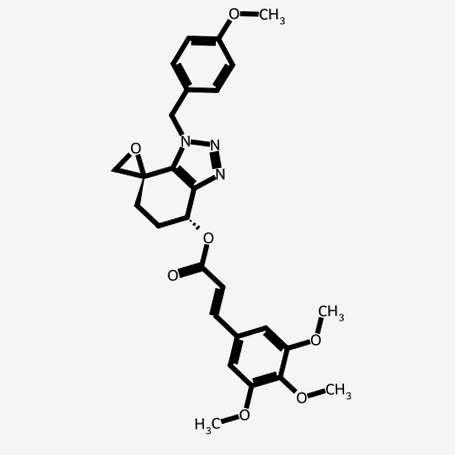 COc1ccc(Cn2nnc3c2[C@]2(CC[C@H]3OC(=O)/C=C/c3cc(OC)c(OC)c(OC)c3)CO2)cc1